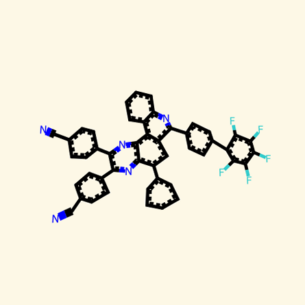 N#Cc1ccc(-c2nc3c(-c4ccccc4)cc4c(-c5ccc(-c6c(F)c(F)c(F)c(F)c6F)cc5)nc5ccccc5c4c3nc2-c2ccc(C#N)cc2)cc1